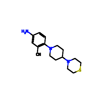 N#Cc1cc(N)ccc1N1CCC(N2CCSCC2)CC1